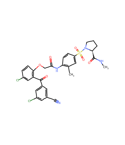 CNC(=O)[C@@H]1CCCN1S(=O)(=O)c1ccc(NC(=O)COc2ccc(Cl)cc2C(=O)c2cc(Cl)cc(C#N)c2)c(C)c1